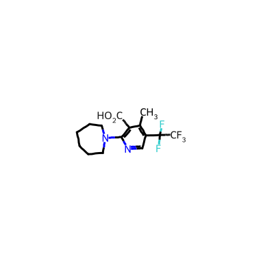 Cc1c(C(F)(F)C(F)(F)F)cnc(N2CCCCCC2)c1C(=O)O